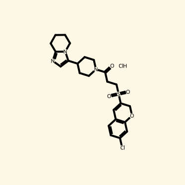 Cl.O=C(CCS(=O)(=O)C1=Cc2ccc(Cl)cc2OC1)N1CCC(c2cnc3n2CCCC3)CC1